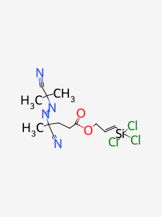 CC(C)(C#N)/N=N/C(C)(C#N)CCC(=O)OC/C=C/[Si](Cl)(Cl)Cl